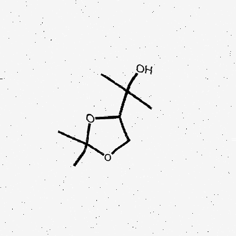 CC1(C)OCC(C(C)(C)O)O1